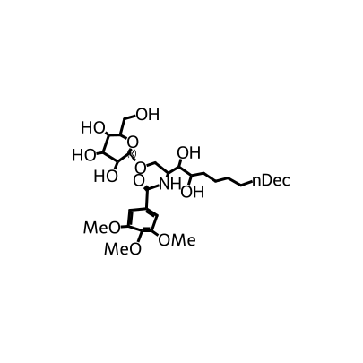 CCCCCCCCCCCCCCC(O)C(O)C(CO[C@@H]1OC(CO)C(O)C(O)C1O)NC(=O)c1cc(OC)c(OC)c(OC)c1